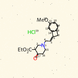 CCOC(=O)C1CN(CC=C2Cc3ccc(OC)cc32)CCC1=O.Cl